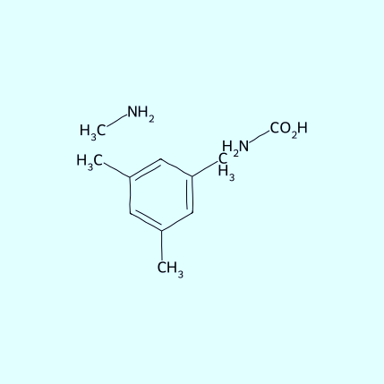 CN.Cc1cc(C)cc(C)c1.NC(=O)O